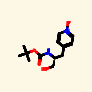 CC(C)(C)OC(=O)N[C@@H](CO)Cc1cc[n+]([O-])cc1